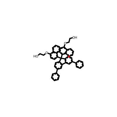 OCCOc1ccc(C2(c3ccc(OCCO)c4ccccc34)c3ccc(-c4ccccc4)cc3-c3cc(-c4ccccc4)ccc32)c2ccccc12